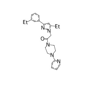 CCc1cccc(-c2cc(CC)n(CC(=O)N3CCN(c4ccccn4)CC3)n2)c1